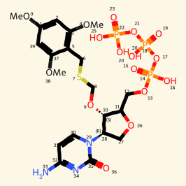 COc1cc(OC)c(CSCO[C@@H]2C(COP(=O)(O)OP(=O)(O)OP(=O)(O)O)OC[C@H]2n2ccc(N)nc2=O)c(OC)c1